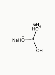 OP(O)O.[NaH].[SiH4]